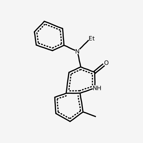 CCN(c1ccccc1)c1cc2cccc(C)c2[nH]c1=O